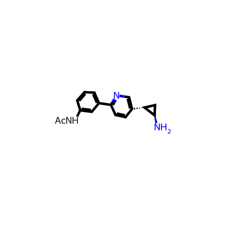 CC(=O)Nc1cccc(-c2ccc([C@@H]3C[C@H]3N)cn2)c1